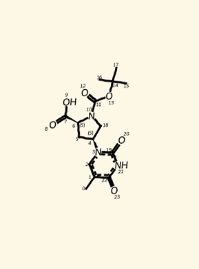 Cc1cn([C@H]2C[C@@H](C(=O)O)N(C(=O)OC(C)(C)C)C2)c(=O)[nH]c1=O